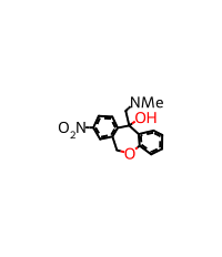 CNCC1(O)c2ccc([N+](=O)[O-])cc2COc2ccccc21